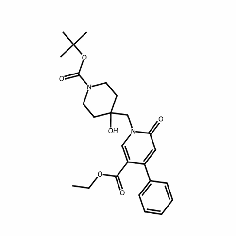 CCOC(=O)c1cn(CC2(O)CCN(C(=O)OC(C)(C)C)CC2)c(=O)cc1-c1ccccc1